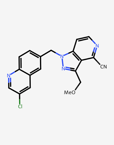 COCc1nn(Cc2ccc3ncc(Cl)cc3c2)c2ccnc(C#N)c12